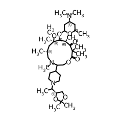 CO[C@]1(C)C[C@@H](C)CN(C)C(C2CCN(C(C)[C@H]3COC(C)(C)O3)CC2)COC(=O)C(C)(C)C(=O)[C@H](C)[C@H]1OC1C[C@@H](N(C)C)C[C@@H](C)O1